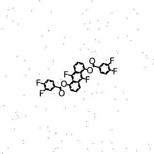 O=C(Oc1cccc2c(F)c3c(OC(=O)c4ccc(F)c(F)c4)cccc3c(F)c12)c1ccc(F)c(F)c1